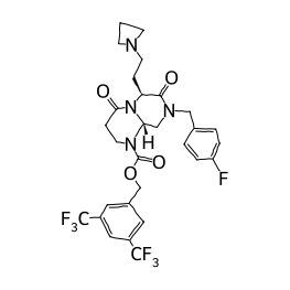 O=C1[C@H](CCN2CCC2)N2C(=O)CCN(C(=O)OCc3cc(C(F)(F)F)cc(C(F)(F)F)c3)[C@H]2CN1Cc1ccc(F)cc1